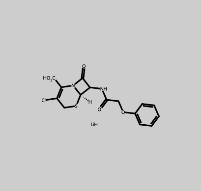 O=C(COc1ccccc1)NC1C(=O)N2C(C(=O)O)=C(Cl)CS[C@H]12.[LiH]